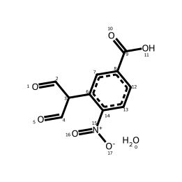 O.O=CC(C=O)c1cc(C(=O)O)ccc1[N+](=O)[O-]